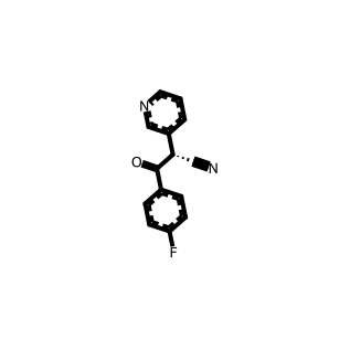 N#C[C@H](C(=O)c1ccc(F)cc1)c1cccnc1